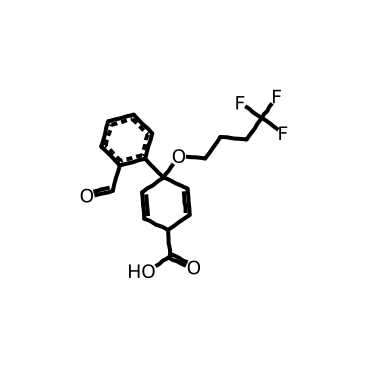 O=Cc1ccccc1C1(OCCCC(F)(F)F)C=CC(C(=O)O)C=C1